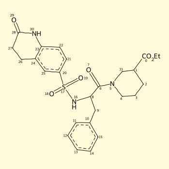 CCOC(=O)C1CCCN(C(=O)C(Cc2ccccc2)NS(=O)(=O)c2ccc3c(c2)CCC(=O)N3)C1